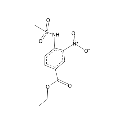 CCOC(=O)c1ccc(NS(C)(=O)=O)c([N+](=O)[O-])c1